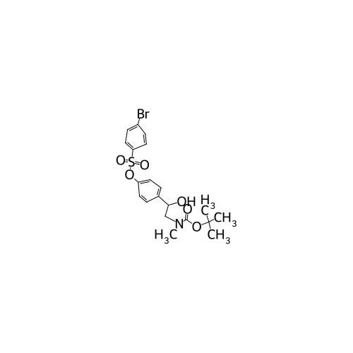 CN(CC(O)c1ccc(OS(=O)(=O)c2ccc(Br)cc2)cc1)C(=O)OC(C)(C)C